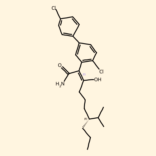 CCC[C@H](CCC/C(O)=C(\C(N)=O)c1cc(-c2ccc(Cl)cc2)ccc1Cl)C(C)C